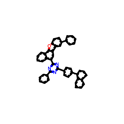 c1ccc(-c2ccc3oc4c5ccccc5c(-c5nc(-c6ccccc6)nc(-c6ccc(-c7cccc8ccccc78)cc6)n5)cc4c3c2)cc1